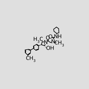 Cc1cccc(-c2ccc([C@@H]3[C@@H](CO)N(C(=O)CN(C)C(=O)NC4CCCCC4)[C@H]3C)cc2)c1